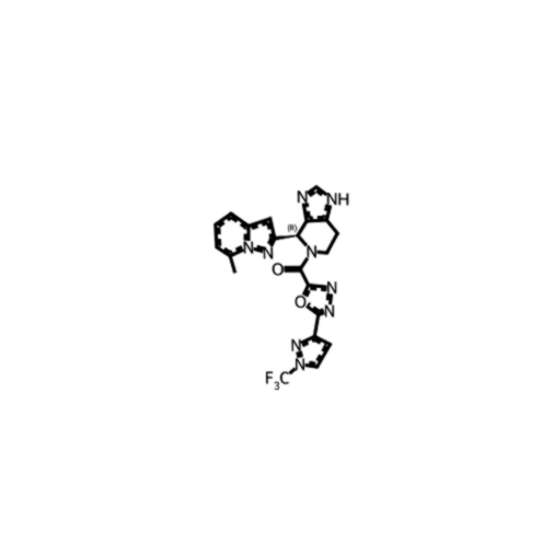 Cc1cccc2cc([C@H]3c4nc[nH]c4CCN3C(=O)c3nnc(-c4ccn(C(F)(F)F)n4)o3)nn12